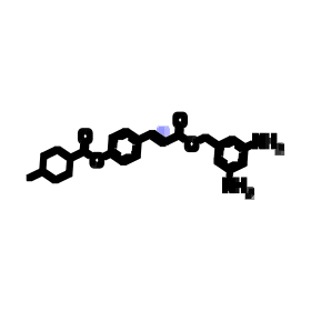 CC1CCC(C(=O)Oc2ccc(/C=C/C(=O)OCc3cc(N)cc(N)c3)cc2)CC1